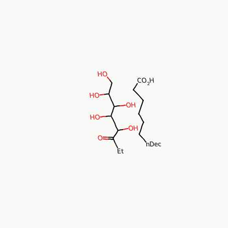 CCC(=O)C(O)C(O)C(O)C(O)CO.CCCCCCCCCCCCCCCC(=O)O